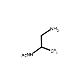 CC(=O)NC(CN)C(F)(F)F